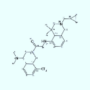 CN(C)CCN(Cc1ccccc1C(F)(F)F)C(=O)CNc1cccc2c1C(C)(C)CN(CC1CC1)C2